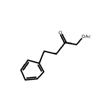 CC(=O)OCC(=O)CCc1ccccc1